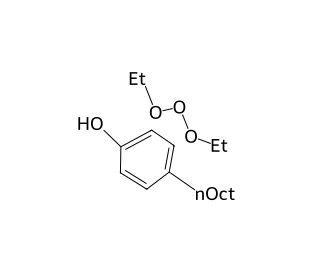 CCCCCCCCc1ccc(O)cc1.CCOOOCC